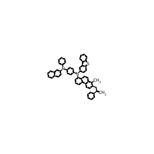 C=C(Cc1ccc2c(ccc3c(N(c4ccc(N(c5ccccc5)c5ccc6ccccc6c5)cc4)c4ccc5sc6ccccc6c5c4)cccc32)c1C)c1ccccc1